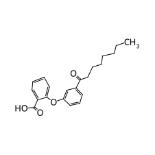 CCCCCCCC(=O)c1cccc(Oc2ccccc2C(=O)O)c1